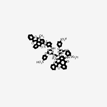 Cn1c(=O)c(C(=O)c2ccccc2)c2c3c(c(Nc4cc(Nc5nc(NCCNc6nc(Nc7ccc(S(=O)(=O)O)c(Nc8ccc9c%10c8C(=O)c8ccccc8-c%10c(C(=O)c8ccccc8)c(=O)n9C)c7)nc(Oc7ccc(S(=O)(=O)O)cc7)n6)nc(Oc6ccc(S(=O)(=O)O)cc6)n5)ccc4S(=O)(=O)O)ccc31)C(=O)c1ccccc1-2